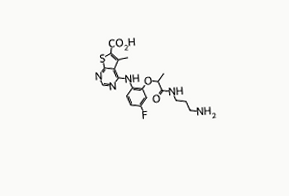 Cc1c(C(=O)O)sc2ncnc(Nc3ccc(F)cc3OC(C)C(=O)NCCCN)c12